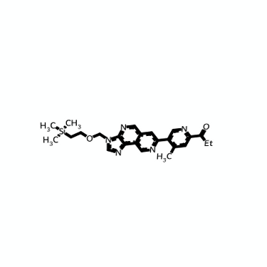 CCC(=O)c1cc(C)c(-c2cc3cnc4c(ncn4COCC[Si](C)(C)C)c3cn2)cn1